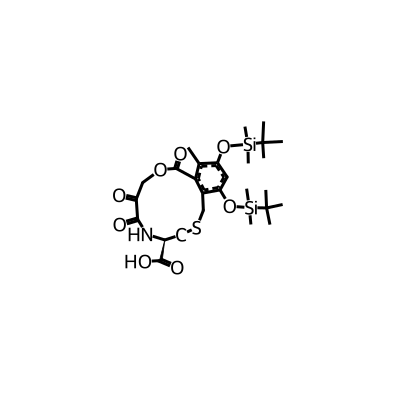 Cc1c(O[Si](C)(C)C(C)(C)C)cc(O[Si](C)(C)C(C)(C)C)c2c1C(=O)OCC(=O)C(=O)N[C@H](C(=O)O)CSC2